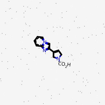 O=C(O)N1CC=C(c2cn3ccccc3n2)C1